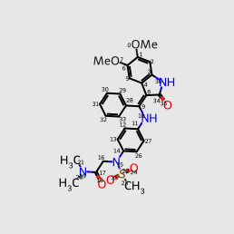 COc1cc2c(cc1OC)/C(=C(/Nc1ccc(N(CC(=O)N(C)C)S(C)(=O)=O)cc1)c1ccccc1)C(=O)N2